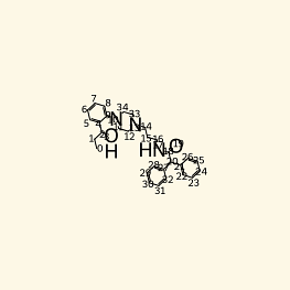 CCC(O)c1ccccc1N1CCN(CCCNC(=O)C(c2ccccc2)c2ccccc2)CC1